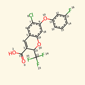 O=C(O)C1=Cc2cc(Cl)c(Oc3cccc(F)c3)cc2OC1C(F)(F)F